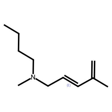 C=C(C)/C=C/CN(C)CCCC